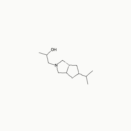 CC(O)CN1CC2CC(C(C)C)CC2C1